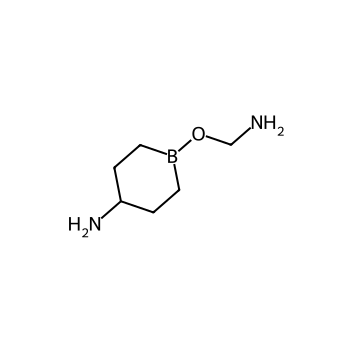 NCOB1CCC(N)CC1